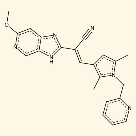 COc1cc2nc(/C(C#N)=C/c3cc(C)n(Cc4ccccn4)c3C)[nH]c2cn1